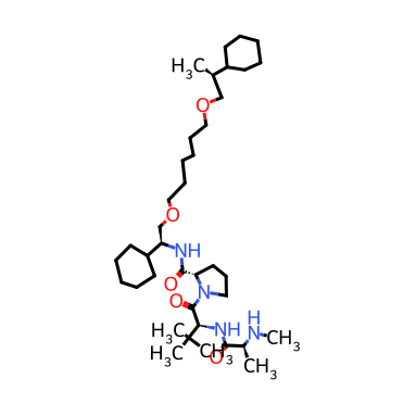 CN[C@@H](C)C(=O)N[C@H](C(=O)N1CCC[C@H]1C(=O)N[C@H](COCCCCCCOC[C@@H](C)C1CCCCC1)C1CCCCC1)C(C)(C)C